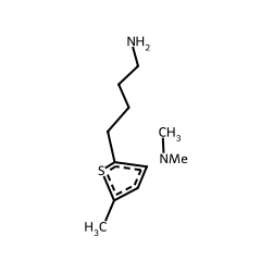 CNC.Cc1ccc(CCCCN)s1